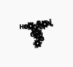 CN(C)c1ccc(C(=O)N[C@@H](Cc2ccc(O)cc2)C(=O)N2CC[C@@H]3[C@H]2C(=O)CN3C(=O)c2ccccc2)cc1